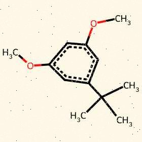 COc1[c]c(OC)cc(C(C)(C)C)c1